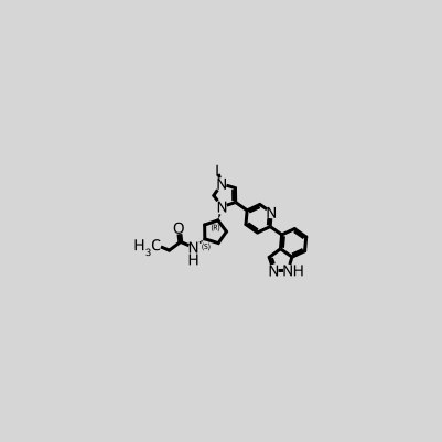 CCC(=O)N[C@H]1CC[C@@H](N2CN(I)C=C2c2ccc(-c3cccc4[nH]ncc34)nc2)C1